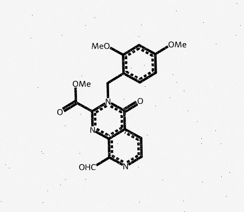 COC(=O)c1nc2c(C=O)nccc2c(=O)n1Cc1ccc(OC)cc1OC